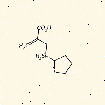 C=C(C[SiH2]C1CCCC1)C(=O)O